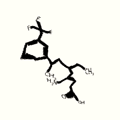 CCC(CC(C)c1cccc(C(F)(F)F)c1)C(N)CC(=O)O